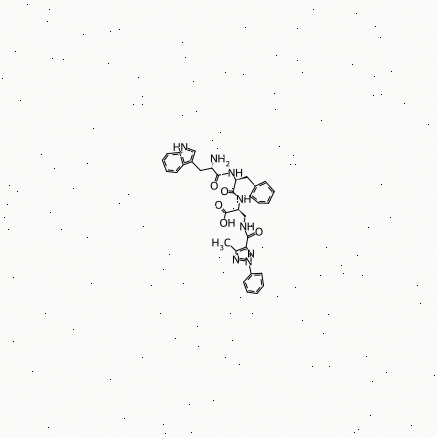 Cc1nn(-c2ccccc2)nc1C(=O)NC[C@H](NC(=O)[C@H](Cc1ccccc1)NC(=O)[C@@H](N)Cc1c[nH]c2ccccc12)C(=O)O